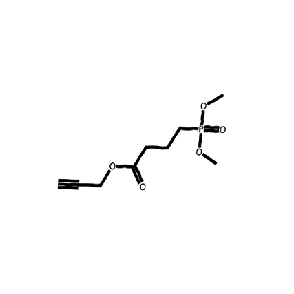 C#CCOC(=O)CCCP(=O)(OC)OC